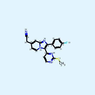 CSc1nccc(-c2c(-c3ccc(F)cc3)nc3cc(CC#N)ccn23)n1